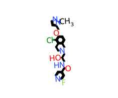 Cn1nccc1COc1ccc2c(c1Cl)CCN(C[C@@H](O)CNC(=O)c1ccnc(F)c1)C2